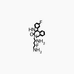 NC[C@@H](F)C[C@@H](N)CN1Cc2ccccc2-c2c([nH]c3ccc(F)cc23)C1=O